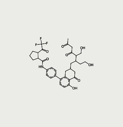 CC(=O)CC(=O)C(CO)C(CCO)CC1CC(=O)c2c(O)ccc(-c3ccc(NC(=O)C4CCCC4C(=O)C(F)(F)F)cc3)c2C1